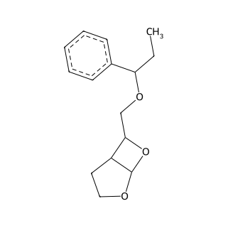 CCC(OCC1OC2OCCC12)c1ccccc1